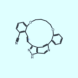 N#Cc1cccc2c1/C=C/c1n[nH]c3cnc(cc13)-c1ccccc1OCCCCO2